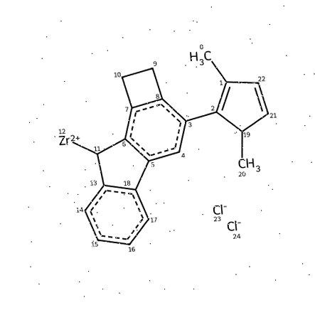 CC1=C(c2cc3c(c4c2CC4)[CH]([Zr+2])c2ccccc2-3)C(C)C=C1.[Cl-].[Cl-]